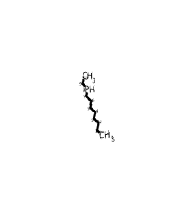 CCCCCCCCPCC